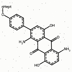 CCCCCCCOc1ccc(-c2cc(O)c3c(c2N)C(=O)c2c(O)ccc(N)c2C3=O)cc1